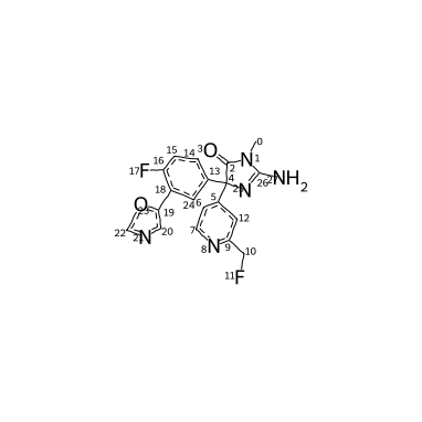 CN1C(=O)C(c2ccnc(CF)c2)(c2ccc(F)c(-c3cnco3)c2)N=C1N